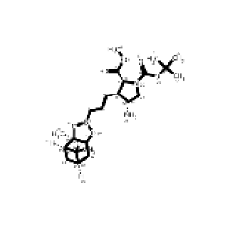 COC(=O)[C@@H]1[C@H](CCCB2OC3C[C@H]4C[C@H](C4(C)C)[C@@]3(C)O2)[C@@H](N)CN1C(=O)OC(C)(C)C